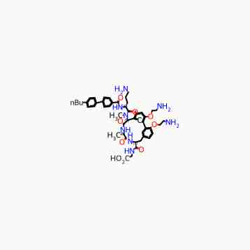 CCCCc1ccc(-c2ccc(C(=O)N[C@@H](CCCN)C(=O)N(C)[C@@H]3C(=O)N[C@@H](C)C(=O)N[C@H](C(=O)NCC(=O)O)Cc4ccc(OCCN)c(c4)-c4cc3ccc4OCCN)cc2)cc1